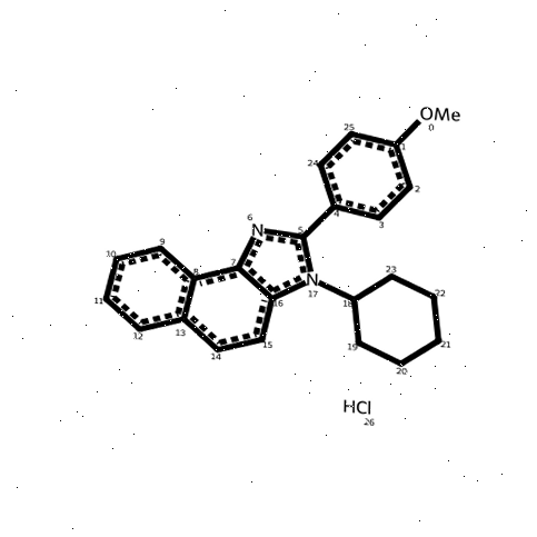 COc1ccc(-c2nc3c4ccccc4ccc3n2C2CCCCC2)cc1.Cl